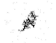 CC(C)CC(NC(=O)CNC(=O)C(CO)NC(=O)C(N)CC(N)=O)C(=O)NC(CC(C)C)C(=O)NC(C(=O)NC(CCCCN)C(=O)O)C(C)C